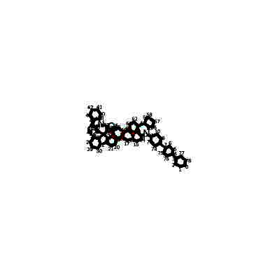 c1ccc(-c2ccc(-c3ccc(N(c4ccc5cc(-c6ccc7c(c6)C6(c8ccccc8-7)c7ccccc7-n7c8ccccc8c8cccc6c87)ccc5c4)c4ccccc4-c4ccc(-c5ccccc5)cc4)cc3)cc2)cc1